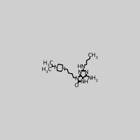 CCCCNc1nc(N)c2[nH]c(=O)n(CCCCN3CCN(C(C)C)CC3)c2n1